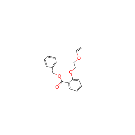 C=COCCOc1ccccc1C(=O)OCc1ccccc1